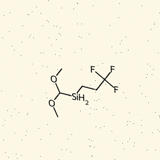 COC(OC)[SiH2]CCC(F)(F)F